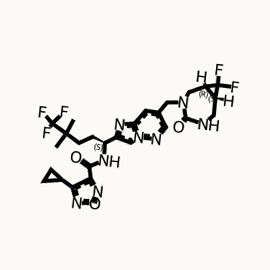 CC(C)(CC[C@H](NC(=O)c1nonc1C1CC1)c1cn2ncc(CN3C[C@H]4[C@@H](CNC3=O)C4(F)F)cc2n1)C(F)(F)F